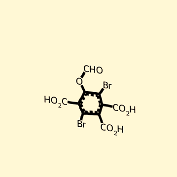 O=COc1c(Br)c(C(=O)O)c(C(=O)O)c(Br)c1C(=O)O